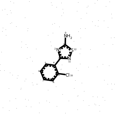 Nc1nc(-c2ccccc2Cl)ns1